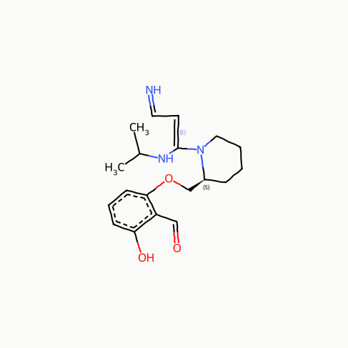 CC(C)N/C(=C\C=N)N1CCCC[C@H]1COc1cccc(O)c1C=O